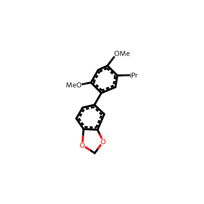 COc1cc(OC)c(C(C)C)cc1-c1ccc2c(c1)OCO2